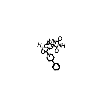 C[C@@H](C[C@@]1(C2CC2)NC(=O)NC1=O)C(=O)N1CCC(c2ccccc2)CC1